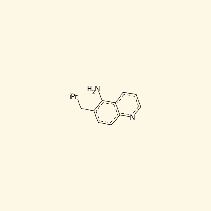 CC(C)Cc1ccc2ncccc2c1N